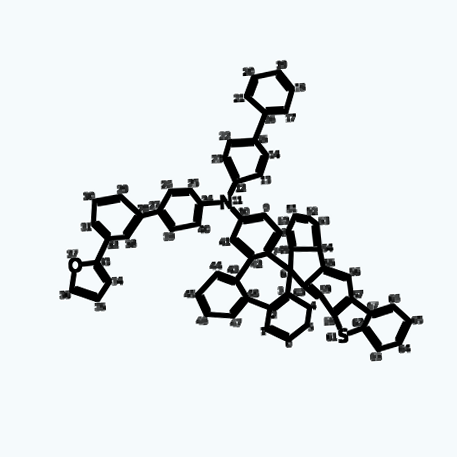 C1=CC2=C(CC1)C1(c3ccc(N(c4ccc(-c5ccccc5)cc4)c4ccc(-c5cccc(-c6ccco6)c5)cc4)cc3-c3ccccc32)c2ccccc2-c2cc3c(cc21)sc1ccccc13